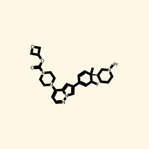 CC(C)N1CCC[C@@H](C2(C)C=CC(c3cc4c(N5CCN(C(=O)OC6COC6)CC5)ccnn4c3)=CC2F)C1